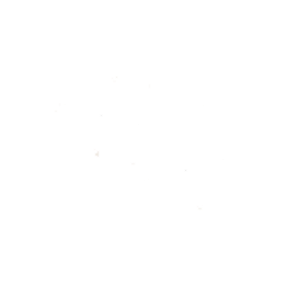 Br[C](C(Br)(Br)Br)C(Br)(Br)C(Br)(Br)Br